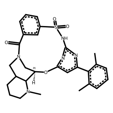 Cc1cccc(C)c1-c1cc2nc(n1)NS(=O)(=O)c1cccc(c1)C(=O)N1CC3CCCN(C)C3[C@@H](C1)O2